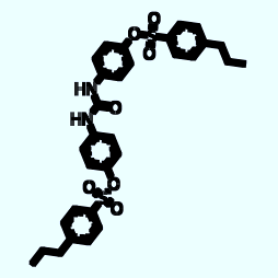 CCCc1ccc(S(=O)(=O)Oc2ccc(NC(=O)Nc3ccc(OS(=O)(=O)c4ccc(CCC)cc4)cc3)cc2)cc1